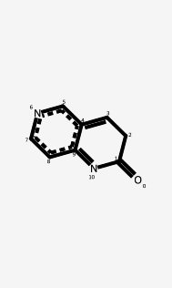 O=C1CC=c2cnccc2=N1